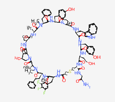 CCCC[C@H]1C(=O)N2C[C@H](O)C[C@@H]2C(=O)N[C@@H](CC(=O)O)C(=O)N[C@@H](C(C)C)C(=O)N(C)[C@@H](Cc2ccccc2)C(=O)N[C@@H](Cc2ccc(O)cc2)C(=O)N2CCC[C@@H]2C(=O)N[C@@H](Cc2c[nH]c3ccccc23)C(=O)N[C@@H](Cc2ccc(O)cc2)C(=O)N[C@@H](CCO)C(=O)N[C@H](C(=O)NCC(N)=O)CSCC(=O)N[C@@H](Cc2cc(F)c(F)c(F)c2)C(=O)N(C)[C@@H](CCc2ccccc2)C(=O)N1C